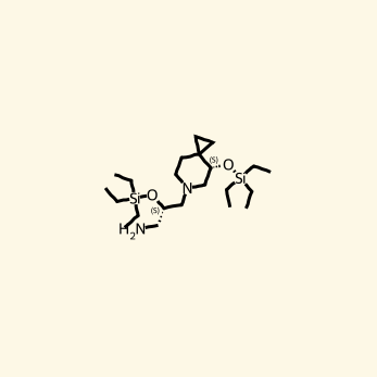 CC[Si](CC)(CC)O[C@@H](CN)CN1CCC2(CC2)[C@H](O[Si](CC)(CC)CC)C1